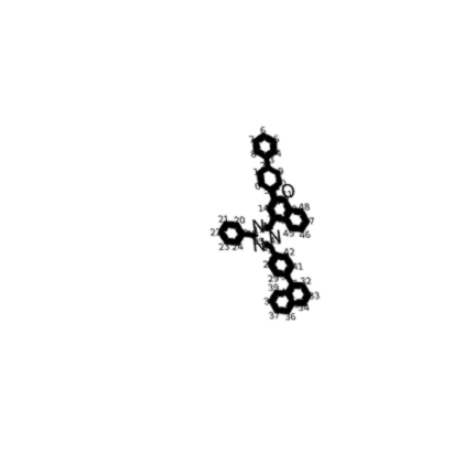 C1=CC(c2ccccc2)Cc2oc3c(cc(-c4nc(-c5ccccc5)nc(-c5ccc(-c6cccc7ccccc67)cc5)n4)c4ccccc43)c21